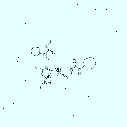 CCNc1nc(Cl)nc(NC(C)(C)C#N)n1.CCSC(=O)N(CC)C1CCCCC1.CN(C)C(=O)NC1CCCCCCC1